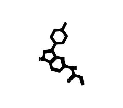 C=CC(=O)Nc1ccc2[nH]cc(C3CCN(C)CC3)c2n1